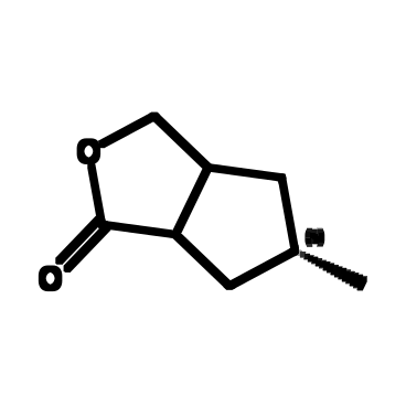 C[C@H]1CC2COC(=O)C2C1